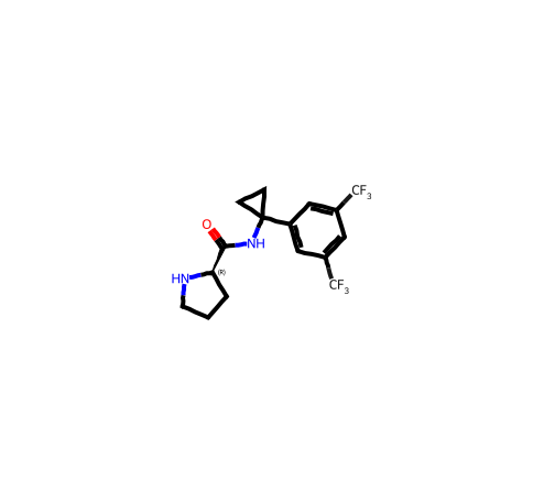 O=C(NC1(c2cc(C(F)(F)F)cc(C(F)(F)F)c2)CC1)[C@H]1CCCN1